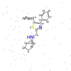 CCCCCc1sc(CNC2CC3CCC2C3)nc1-c1ccccc1